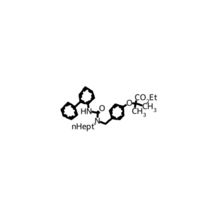 CCCCCCCN(Cc1ccc(OC(C)(C)C(=O)OCC)cc1)C(=O)Nc1ccccc1-c1ccccc1